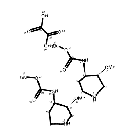 CO[C@@H]1CNCC[C@H]1NC(=O)OC(C)(C)C.CO[C@@H]1CNCC[C@H]1NC(=O)OC(C)(C)C.O=C(O)C(=O)O